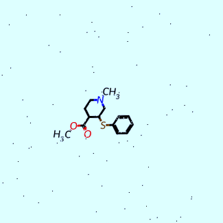 COC(=O)C1CCN(C)CC1Sc1ccccc1